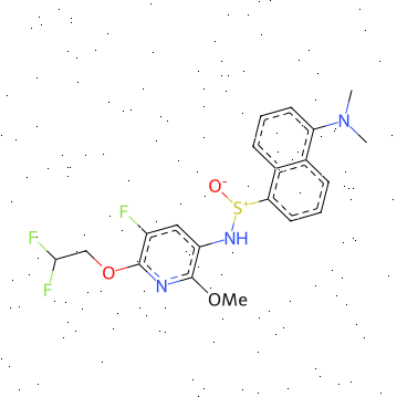 COc1nc(OCC(F)F)c(F)cc1N[S+]([O-])c1cccc2c(N(C)C)cccc12